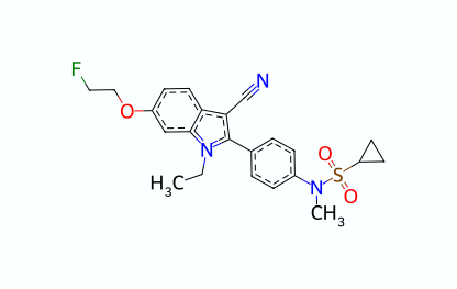 CCn1c(-c2ccc(N(C)S(=O)(=O)C3CC3)cc2)c(C#N)c2ccc(OCCF)cc21